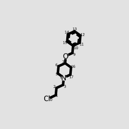 ClCCCN1CCC(OCc2ccccc2)CC1